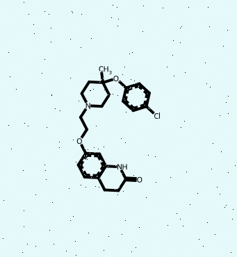 CC1(Oc2ccc(Cl)cc2)CCN(CCOc2ccc3c(c2)NC(=O)CC3)CC1